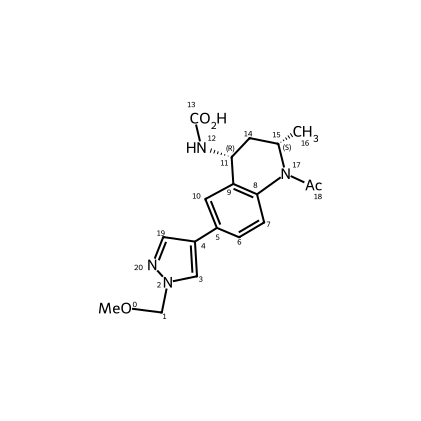 COCn1cc(-c2ccc3c(c2)[C@H](NC(=O)O)C[C@H](C)N3C(C)=O)cn1